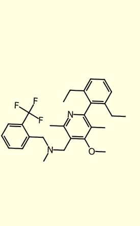 CCc1cccc(CC)c1-c1nc(C)c(CN(C)Cc2ccccc2C(F)(F)F)c(OC)c1C